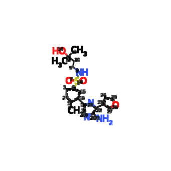 Cc1ccc(S(=O)(=O)NCCC(C)(C)O)cc1-c1cnc(N)c(-c2ccoc2)n1